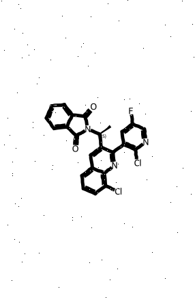 C[C@@H](c1cc2cccc(Cl)c2nc1-c1cc(F)cnc1Cl)N1C(=O)c2ccccc2C1=O